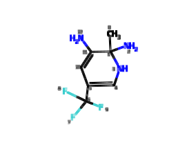 CC1(N)NC=C(C(F)(F)F)C=C1N